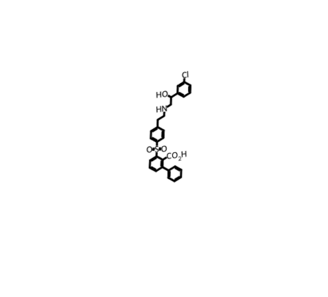 O=C(O)c1c(-c2ccccc2)cccc1S(=O)(=O)c1ccc(CCNCC(O)c2cccc(Cl)c2)cc1